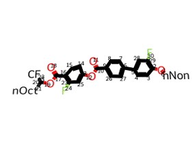 CCCCCCCCCOc1ccc(-c2ccc(C(=O)Oc3ccc(C(=O)OC(CCCCCCCC)C(F)(F)F)c(F)c3)cc2)cc1F